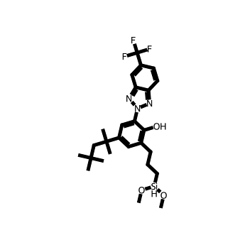 CO[SiH](CCCc1cc(C(C)(C)CC(C)(C)C)cc(-n2nc3ccc(C(F)(F)F)cc3n2)c1O)OC